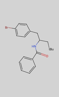 CC(C)(C)CC(Cc1ccc(Br)cc1)NC(=O)c1ccccc1